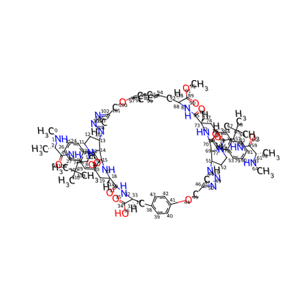 CN[C@@H](C)C(=O)N[C@H](C(=O)N1CC[C@@H]2[C@H]1C(=O)N[C@@H](Cc1ccc3ccccc3c1)C(=O)N[C@H](C(=O)O)Cc1ccc(cc1)OCc1cn(nn1)[C@@H]1CCN(C(=O)[C@@H](NC(=O)[C@H](C)NC)C(C)(C)C)[C@@H]1C(=O)N[C@@H](Cc1ccc3ccccc3c1)C(=O)N[C@H](C(=O)OC)Cc1ccc(cc1)OCc1cn2nn1)C(C)(C)C